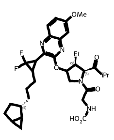 CC[C@@H]1C(Oc2nc3cc(OC)ccc3nc2C2C(CCC[C@H]3CCC4CC43)C2(F)F)CN(C(=O)CNC(=O)O)[C@@H]1C(=O)C(C)C